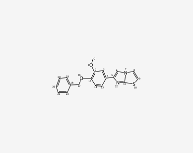 COc1cc(-c2cn3ccsc3n2)ccc1OCc1ccccc1